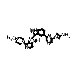 CN1CCN(c2nccc3[nH]c(-c4n[nH]c5ccc(-c6cncc(N7CC(N)C7)n6)cc45)nc23)CC1